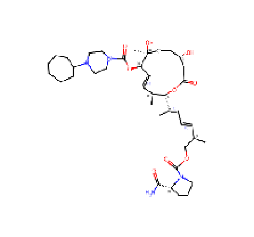 C/C(=C\C=C\[C@@H](C)COC(=O)N1CCC[C@@H]1C(N)=O)[C@H]1OC(=O)C[C@@H](O)CC[C@](C)(O)[C@H](OC(=O)N2CCN(C3CCCCCC3)CC2)/C=C/[C@@H]1C